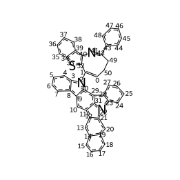 C1=C(/n2c3ccccc3c3cc4c5cc6ccccc6cc5n5c6ccccc6c(c32)c45)c2sc3ccccc3c2/N=C(/c2ccccc2)CC/1